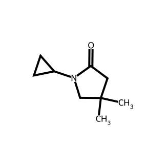 CC1(C)CC(=O)N(C2CC2)C1